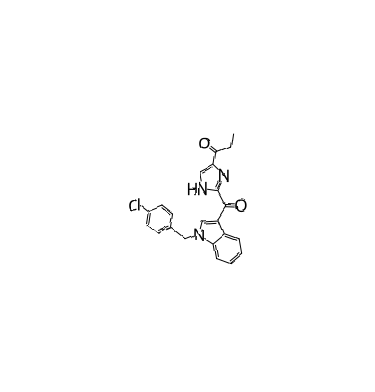 CCC(=O)c1c[nH]c(C(=O)c2cn(Cc3ccc(Cl)cc3)c3ccccc23)n1